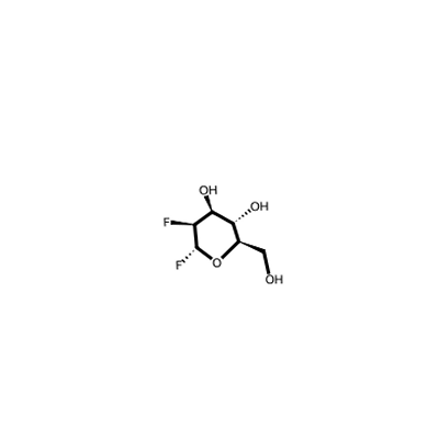 OC[C@H]1O[C@H](F)[C@@H](F)[C@@H](O)[C@@H]1O